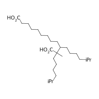 CC(C)CCCCC(CCCCCCCCC(=O)O)C(C)(CCCCC(C)C)C(=O)O